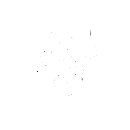 CC(C)(C)c1cccc(C2=C(c3cccc(C(C)(C)C)c3)[Si](c3ccccc3)(C(C)(C)C)C(c3cccc(C(C)(C)C)c3)=C2c2cccc(C(C)(C)C)c2)c1